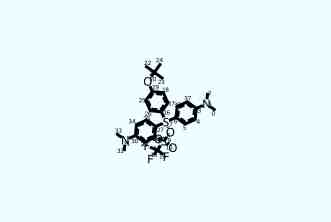 CN(C)c1ccc(S(OS(=O)(=O)C(F)(F)F)(c2ccc(OC(C)(C)C)cc2)c2ccc(N(C)C)cc2)cc1